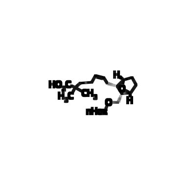 CCCCCCOC[C@@H]1[C@H](C/C=C\CCC(C)(C)C(=O)O)[C@@H]2CC[C@H]1O2